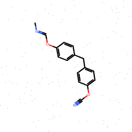 CN=COc1ccc(Cc2ccc(OC#N)cc2)cc1